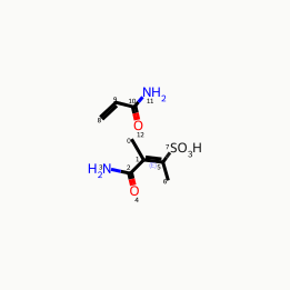 C/C(C(N)=O)=C(/C)S(=O)(=O)O.C=CC(N)=O